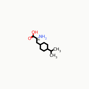 CC(C)C1CCC(C[C@@H](N)C(=O)O)CC1